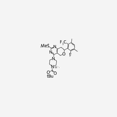 CSc1nc2c(c(N3CCN(C(=O)OC(C)(C)C)[C@@H](C)C3)n1)COC(c1c(F)c(C)cc(C)c1C(F)(F)F)C2